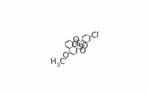 CCOc1ccc(S(=O)(=O)S(=O)(=O)c2ccc(Cl)cc2)c2ccccc12